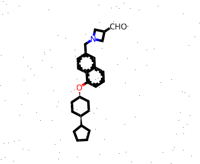 O=[C]C1CN(Cc2ccc3c(O[C@H]4CC[C@H](C5CCCC5)CC4)cccc3c2)C1